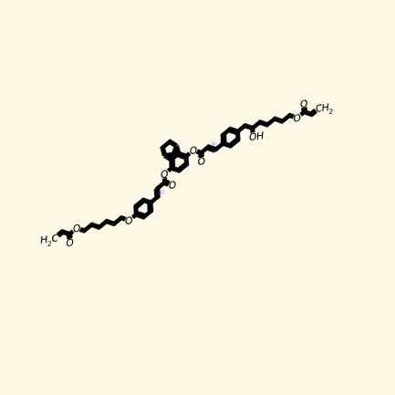 C=CC(=O)OCCCCCCOc1ccc(/C=C/C(=O)Oc2ccc(OC(=O)/C=C/c3ccc(CC(O)CCCCCOC(=O)C=C)cc3)c3c2C2CCC3C2)cc1